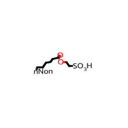 CCCCCCCCCCCCCCC(=O)OCCS(=O)(=O)O